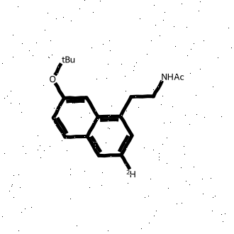 [2H]c1cc(CCNC(C)=O)c2cc(OC(C)(C)C)ccc2c1